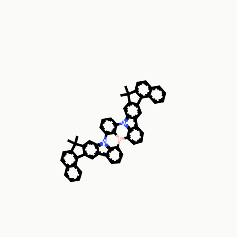 CC1(C)c2cc3c(cc2-c2c1ccc1ccccc21)c1cccc2c1n3-c1cccc3c1B2c1cccc2c4cc5c(cc4n-3c12)C(C)(C)c1ccc2ccccc2c1-5